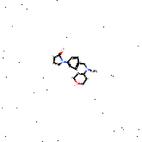 CN(Cc1ccc(N2CCCC2=O)cc1)C1CCOCC1